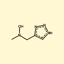 CN(O)Cc1c[nH]nn1